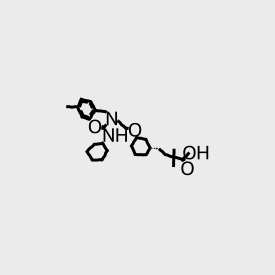 Cc1ccc(CN(CCO[C@H]2CCC[C@@H](CCC(C)(C)C(=O)O)C2)C(=O)NC2CCCCC2)cc1